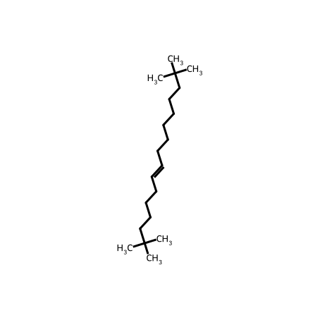 CC(C)(C)CCCCC=CCCCCCCC(C)(C)C